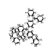 CC1(C)c2ccccc2C2(c3ccccc3-c3c(N(c4ccc(N(c5ccccc5)c5ccccc5)cc4)c4ccc5c(c4)sc4ccccc45)cccc32)c2ccccc21